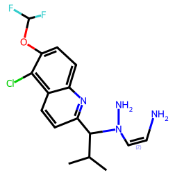 CC(C)C(c1ccc2c(Cl)c(OC(F)F)ccc2n1)N(N)/C=C\N